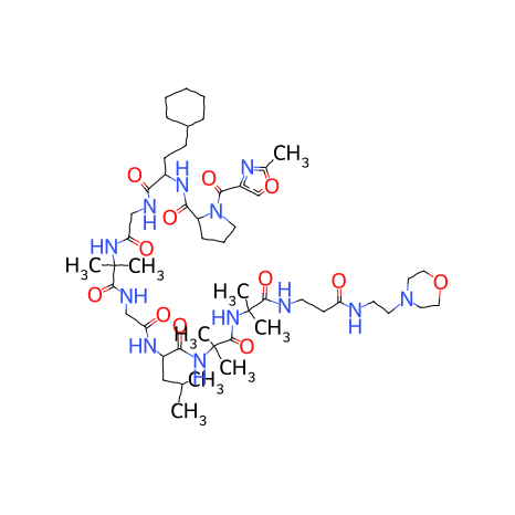 Cc1nc(C(=O)N2CCCC2C(=O)NC(CCC2CCCCC2)C(=O)NCC(=O)NC(C)(C)C(=O)NCC(=O)NC(CC(C)C)C(=O)NC(C)(C)C(=O)NC(C)(C)C(=O)NCCC(=O)NCCN2CCOCC2)co1